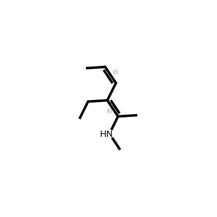 C/C=C\C(CC)=C(/C)NC